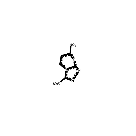 COc1nnc2cc([N+](=O)[O-])ccn12